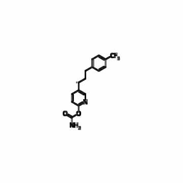 NC(=O)Oc1ccc([CH]CCc2ccc(C(F)(F)F)cc2)cn1